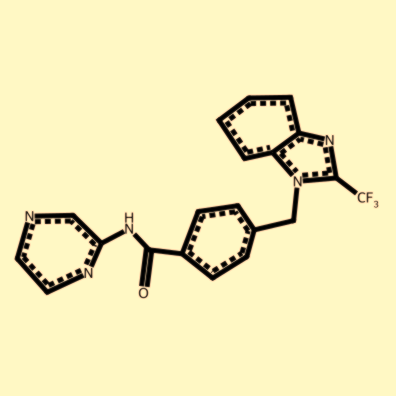 O=C(Nc1cnccn1)c1ccc(Cn2c(C(F)(F)F)nc3ccccc32)cc1